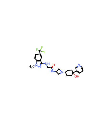 Cn1nc(NCC(=O)NC2CN([C@H]3CC[C@@](O)(c4cccnc4)CC3)C2)c2cc(C(F)(F)F)ccc21